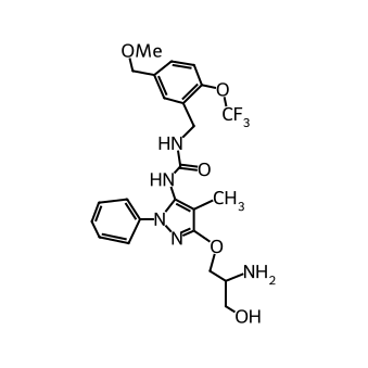 COCc1ccc(OC(F)(F)F)c(CNC(=O)Nc2c(C)c(OCC(N)CO)nn2-c2ccccc2)c1